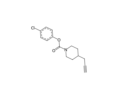 C#CCC1CCN(C(=O)Oc2ccc(Cl)cc2)CC1